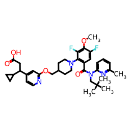 COc1c(F)cc(C(=O)N(CC(C)(C)C)c2cccc(C)n2)c(N2CCC(COc3cc(C(CC(=O)O)C4CC4)ccn3)CC2)c1F